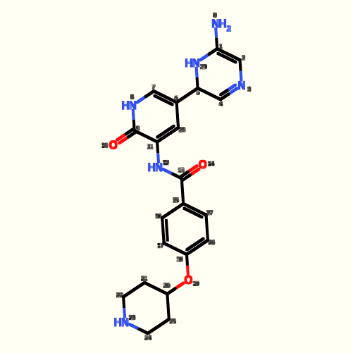 NC1=CN=CC(c2c[nH]c(=O)c(NC(=O)c3ccc(OC4CCNCC4)cc3)c2)N1